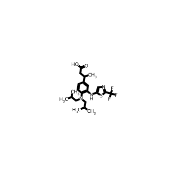 CC(C)CN(CC(C)C)c1ccc(C(C)CC(=O)O)cc1Nc1cnc(C(F)(F)F)s1